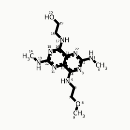 CNc1nc(NCCOC)c2nc(NC)nc(NCCO)c2n1